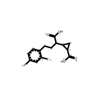 O=C(O)C(CCc1ccc(F)cc1F)C1CC1C(=O)O